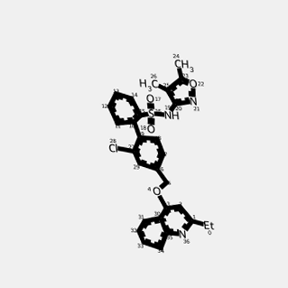 CCc1cc(OCc2ccc(-c3ccccc3S(=O)(=O)Nc3noc(C)c3C)c(Cl)c2)c2ccccc2n1